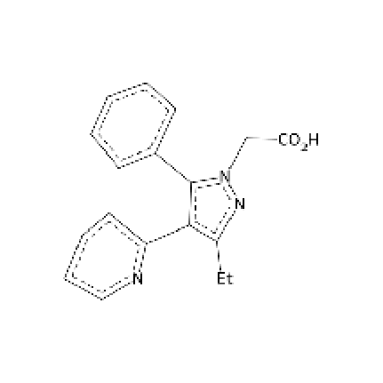 CCc1nn(CC(=O)O)c(-c2ccccc2)c1-c1ccccn1